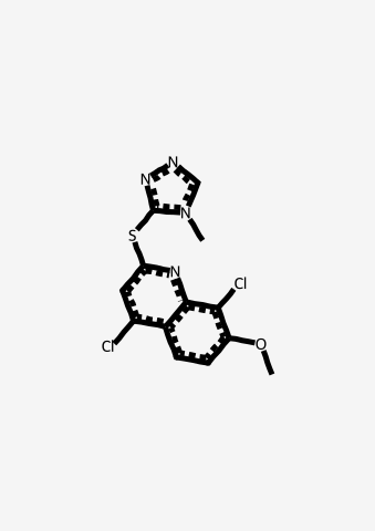 COc1ccc2c(Cl)cc(Sc3nncn3C)nc2c1Cl